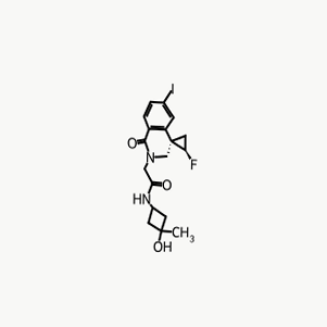 CC1(O)CC(NC(=O)CN2C[C@@]3(C[C@H]3F)c3cc(I)ccc3C2=O)C1